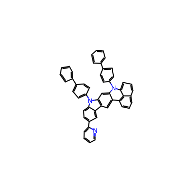 c1ccc(-c2ccc(N3c4cc5c(cc4-c4cccc6cccc3c46)c3cc(-c4ccccn4)ccc3n5-c3ccc(-c4ccccc4)cc3)cc2)cc1